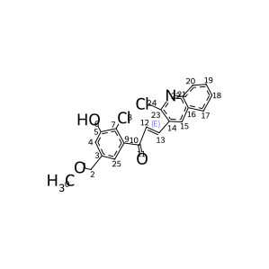 COCc1cc(O)c(Cl)c(C(=O)/C=C/c2cc3ccccc3nc2Cl)c1